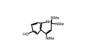 CNC1=CC(NC)(NC)Nc2ccc(O)cc21